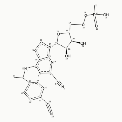 CC(Nc1nc(C#N)nc2c1ccn2[C@@H]1O[C@H](COOP(C)(=O)O)[C@@H](O)[C@H]1O)c1ccc(C#N)cc1